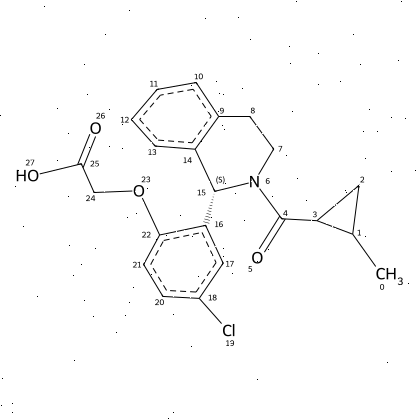 CC1CC1C(=O)N1CCc2ccccc2[C@H]1c1cc(Cl)ccc1OCC(=O)O